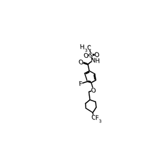 CS(=O)(=O)NC(=O)c1ccc(OCC2CCC(C(F)(F)F)CC2)c(F)c1